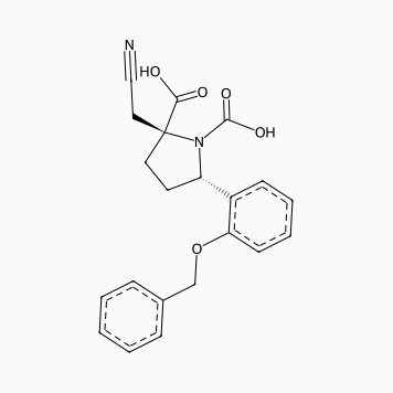 N#CC[C@]1(C(=O)O)CC[C@@H](c2ccccc2OCc2ccccc2)N1C(=O)O